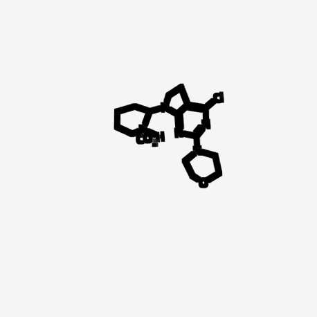 O=C(O)N1CCCCC1N1CCc2c(Cl)nc(N3CCOCC3)nc21